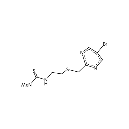 CNC(=S)NCCSCc1ncc(Br)cn1